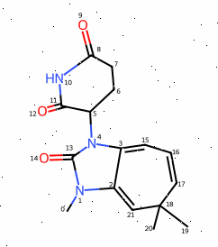 Cn1c2c(n(C3CCC(=O)NC3=O)c1=O)=CC=CC(C)(C)C=2